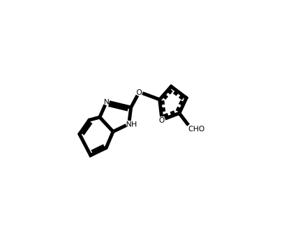 O=Cc1ccc(OC2=NC3C=CC=CC3N2)o1